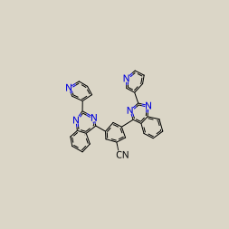 N#Cc1cc(-c2nc(-c3cccnc3)nc3ccccc23)cc(-c2nc(-c3cccnc3)nc3ccccc23)c1